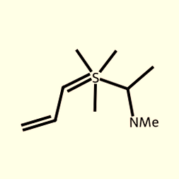 C=CC=S(C)(C)(C)C(C)NC